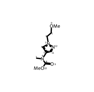 COCCn1cc(N(C)C(=O)OC)cn1